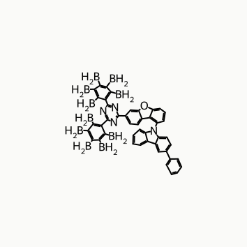 Bc1c(B)c(B)c(-c2nc(-c3ccc4c(c3)oc3cccc(-n5c6ccccc6c6cc(-c7ccccc7)ccc65)c34)nc(-c3c(B)c(B)c(B)c(B)c3B)n2)c(B)c1B